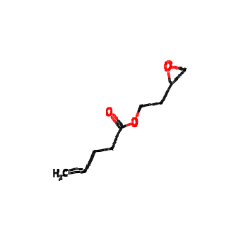 C=CCCC(=O)OCCC1CO1